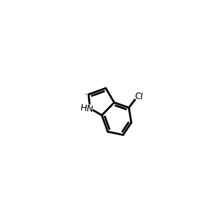 Clc1cccc2[nH][c]cc12